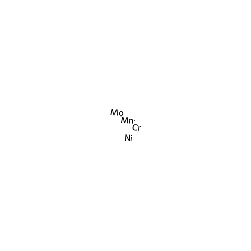 [Cr].[Mn].[Mo].[Ni]